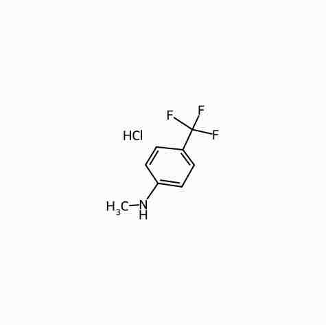 CNc1ccc(C(F)(F)F)cc1.Cl